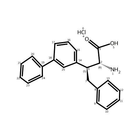 Cl.N[C@@H](C(=O)O)[C@@H](Cc1ccccc1)c1cccc(-c2ccccc2)c1